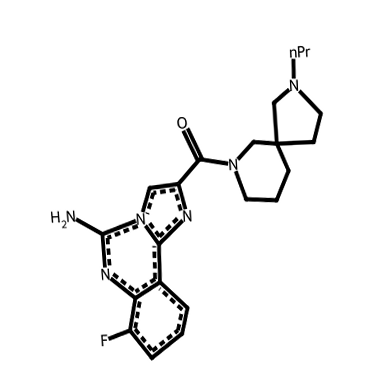 CCCN1CCC2(CCCN(C(=O)c3cn4c(N)nc5c(F)cccc5c4n3)C2)C1